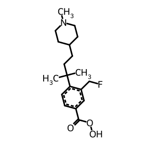 CN1CCC(CCC(C)(C)c2ccc(C(=O)OO)cc2CF)CC1